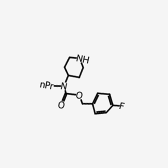 CCCN(C(=O)OCc1ccc(F)cc1)C1CCNCC1